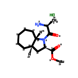 C[C@H](N)C(=O)N1[C@H](C(=O)OC(C)(C)C)C[C@H]2CCCCC[C@@H]21.Cl